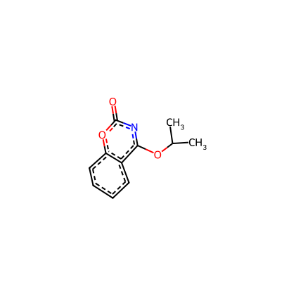 CC(C)Oc1nc(=O)oc2ccccc12